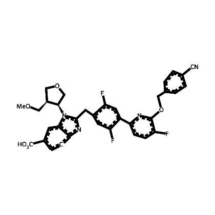 COC[C@H]1COC[C@H]1n1c(Cc2cc(F)c(-c3ccc(F)c(OCc4ccc(C#N)cc4)n3)cc2F)nc2ccc(C(=O)O)cc21